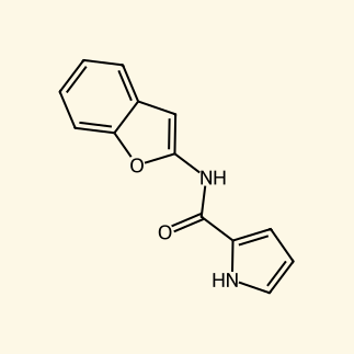 O=C(Nc1cc2ccccc2o1)c1ccc[nH]1